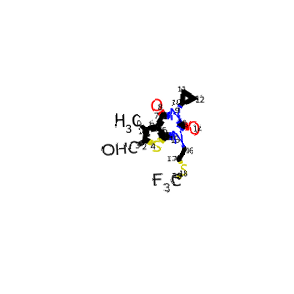 Cc1c(C=O)sc2c1c(=O)n(C1CC1)c(=O)n2CCSC(F)(F)F